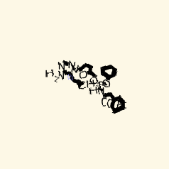 C=C/C=C1/C(N)=NC=NN1[C@H]1CCC(COP(NC(Cc2ccccc2)C(=O)OCC)Oc2ccccc2)O1